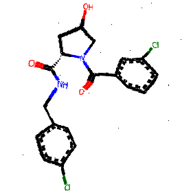 O=C(NCc1ccc(Cl)cc1)[C@@H]1CC(O)CN1C(=O)c1cccc(Cl)c1